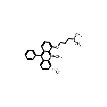 CN(C)CCCOc1cccc2c(-c3ccccc3)c3ccccc3[n+](C)c12.Cl.[Cl-]